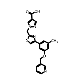 Cc1cc(OCc2cccnc2)cc(-c2csc(Cn3cc(C(=O)O)cn3)n2)c1